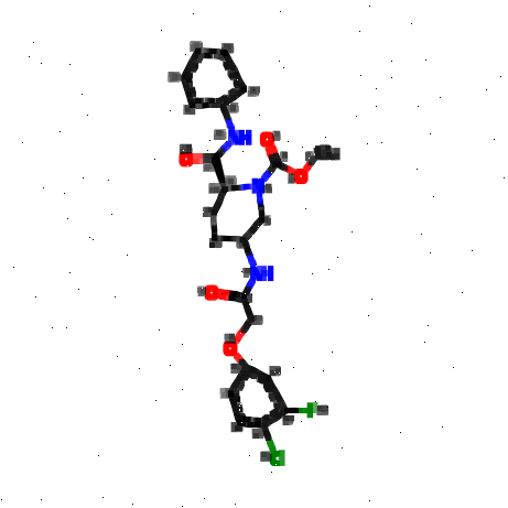 CC(C)(C)OC(=O)N1CC(NC(=O)COc2ccc(Cl)c(F)c2)CC[C@H]1C(=O)Nc1ccccc1